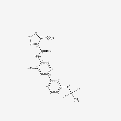 CC(F)(F)Oc1cccc(-c2ccc(NC(=O)C3=CCCC3C(=O)O)c(F)c2)c1